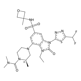 CCn1c(=O)n(-c2nnc(C(F)F)s2)c2cc(S(=O)(=O)NC3(C)COC3)cc(N3CCN(C(=O)N(C)C)[C@H](C)C3)c21